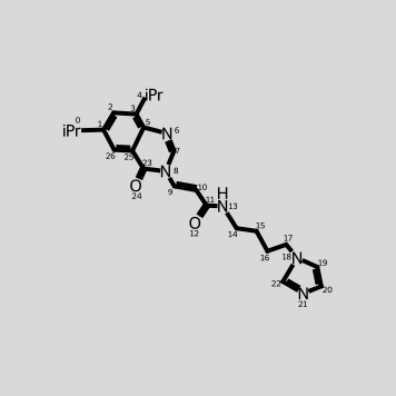 CC(C)c1cc(C(C)C)c2ncn(/C=C/C(=O)NCCCCn3ccnc3)c(=O)c2c1